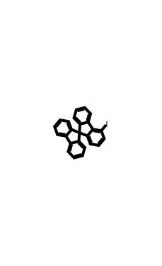 Ic1cccc2c1-c1ccccc1C21c2ccccc2-c2ccccc21